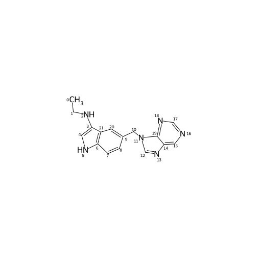 CCNc1c[nH]c2ccc(Cn3cnc4cncnc43)cc12